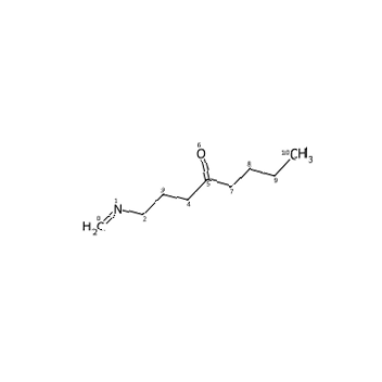 C=NCCCC(=O)CCCC